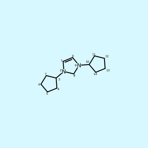 C1=CN(C2CCCC2)CN1C1CCCC1